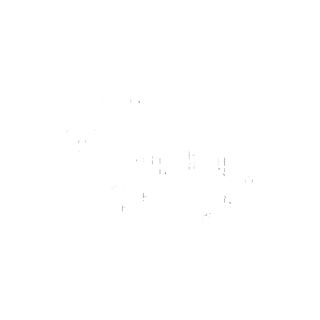 Cn1c(=O)[nH]c2[nH]c(NCC(O)(CC(C)(C)c3cc(Cl)cc4c3OCC4)C(F)(F)F)cc2c1=O